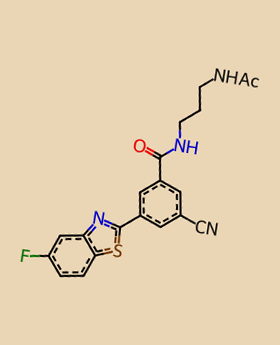 CC(=O)NCCCNC(=O)c1cc(C#N)cc(-c2nc3cc(F)ccc3s2)c1